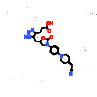 N#CC=C1CCN(c2ccc(N3CC(Cc4[nH]nnc4CCC(=O)O)OC3=O)cc2)CC1